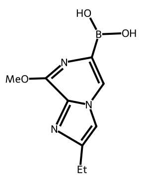 CCc1cn2cc(B(O)O)nc(OC)c2n1